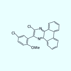 COc1ccc(Cl)cc1-c1nc2c3ccccc3c3ccccc3c2nc1Cl